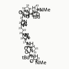 CN[C@@H](C)C(=O)N[C@H](C(=O)N1CCC[C@@H]1C(=O)NCc1cn(CCCn2cc(CNC(=O)[C@@H]3CCCN3C(=O)[C@@H](NC(=O)[C@H](C)NC)C(C)(C)C)nn2)nn1)C(C)(C)C